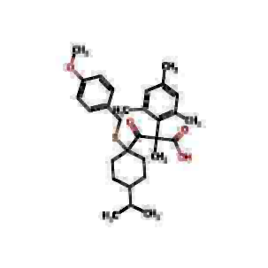 COc1ccc(CSC2(C(=O)C(C)(C(=O)O)c3c(C)cc(C)cc3C)CCC(C(C)C)CC2)cc1